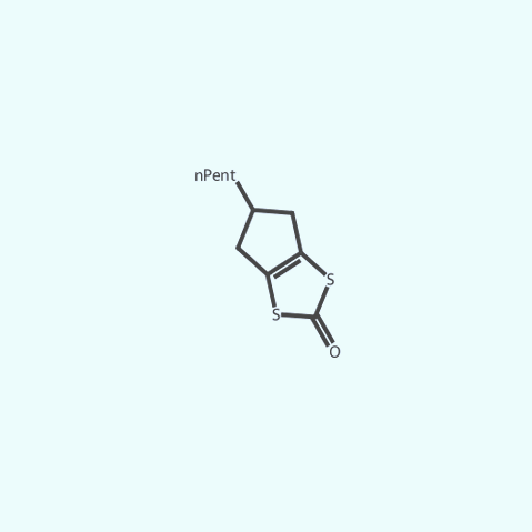 CCCCCC1Cc2sc(=O)sc2C1